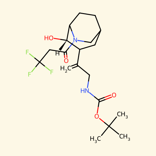 C=C(CNC(=O)OC(C)(C)C)C1CC2CCC([C@H]1O)N(C(=O)CC(F)(F)F)C2